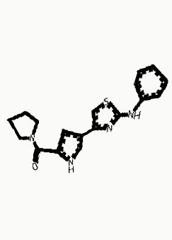 O=C(c1cc(-c2csc(Nc3ccccc3)n2)c[nH]1)N1CCCC1